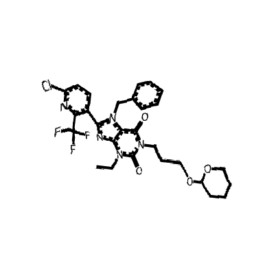 CCn1c(=O)n(CCCOC2CCCCO2)c(=O)c2c1nc(-c1ccc(Cl)nc1C(F)(F)F)n2Cc1ccccc1